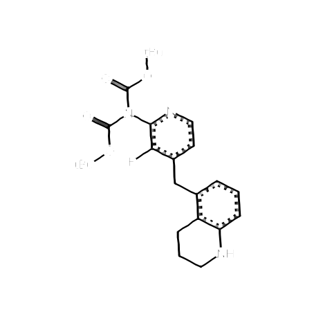 CC(C)(C)OC(=O)N(C(=O)OC(C)(C)C)c1nccc(Cc2cccc3c2CCCN3)c1F